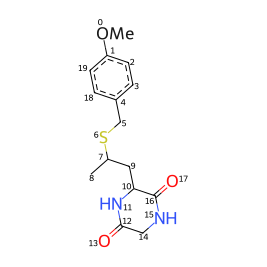 COc1ccc(CSC(C)CC2NC(=O)CNC2=O)cc1